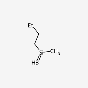 B=[Si](C)CCCC